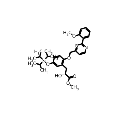 COC(=O)[C@H](O)Cc1cc(O[Si](C(C)C)(C(C)C)C(C)C)ccc1OCc1ccnc(-c2ccccc2OC)n1